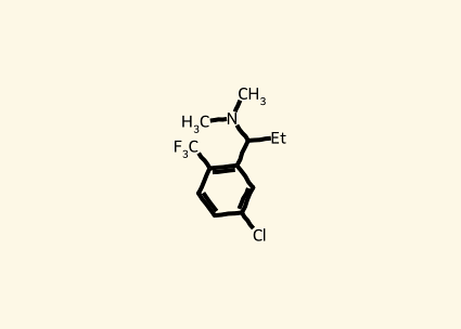 [CH2]CC(c1cc(Cl)ccc1C(F)(F)F)N(C)C